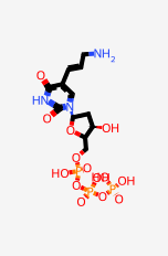 NC/C=C/c1cn([C@H]2C[C@@H](O)C(COP(=O)(O)OP(=O)(O)OP(=O)(O)O)O2)c(=O)[nH]c1=O